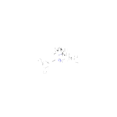 C=CC(=O)N1CC[C@H](/N=C(C#Cc2cc(OC)cc(OC)c2)\C(C(N)=O)=C(/N)NCC)C1